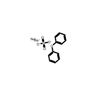 O=S(=O)([O-])[O-].[Na+].[Na+].c1ccc(Oc2ccccc2)cc1